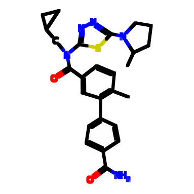 Cc1ccc(C(=O)N(CC2CC2)c2nnc(N3CCCC3C)s2)cc1-c1ccc(C(N)=O)cc1